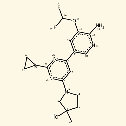 CC1(O)CCN(c2cc(-c3cnc(N)c(OC(F)F)c3)nc(C3CC3)n2)C1